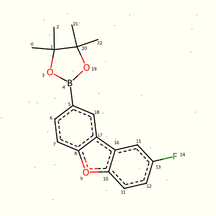 CC1(C)OB(c2ccc3oc4ccc(F)cc4c3c2)OC1(C)C